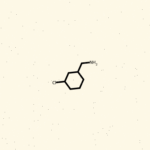 NCC1CCCC(Cl)C1